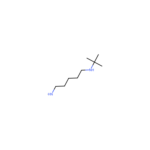 CC(C)(C)NCCCCC[NH]